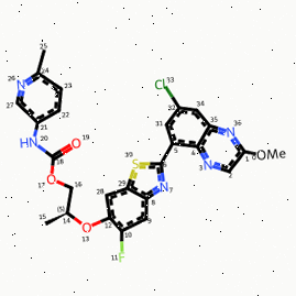 COc1cnc2c(-c3nc4cc(F)c(O[C@@H](C)COC(=O)Nc5ccc(C)nc5)cc4s3)cc(Cl)cc2n1